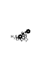 CN(C)C1CCC(NC(=O)OCc2ccccc2)C(C)(C)C1